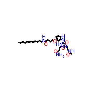 CCCCCCCCCCCCNC(=O)CCCOc1cccc(NC(NC(=O)CCC(N)=O)C(=O)NCCNC(C)=O)c1